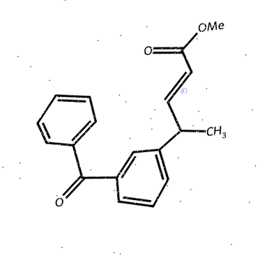 COC(=O)/C=C/C(C)c1cccc(C(=O)c2ccccc2)c1